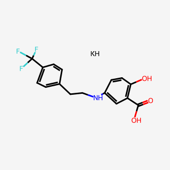 O=C(O)c1cc(NCCc2ccc(C(F)(F)F)cc2)ccc1O.[KH]